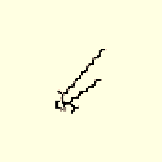 CCCCCCCCCCCCCC(C)[n+]1cc[nH]c1C(CCCCCCCC)C(C)C